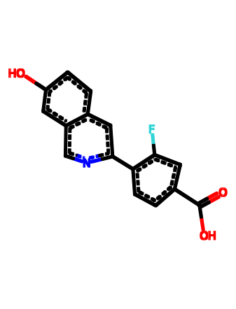 O=C(O)c1ccc(-c2cc3ccc(O)cc3cn2)c(F)c1